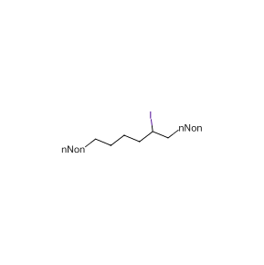 CCCCCCCCCCCCCC(I)CCCCCCCCCC